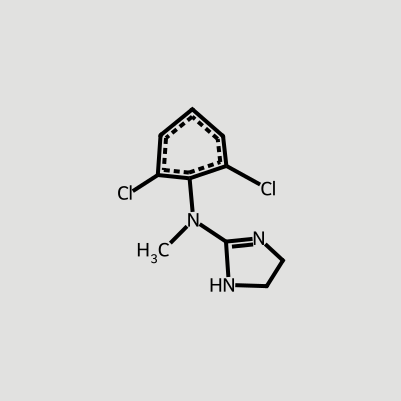 CN(C1=NCCN1)c1c(Cl)cccc1Cl